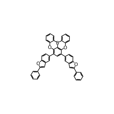 c1ccc(-c2cc3cc(-c4cc(-c5ccc6oc(-c7ccccc7)cc6c5)c5c6c4Oc4ccccc4B6c4ccccc4O5)ccc3o2)cc1